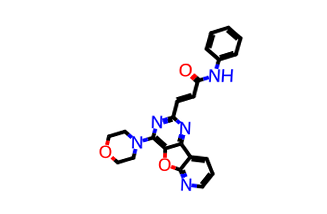 O=C(C=Cc1nc(N2CCOCC2)c2oc3ncccc3c2n1)Nc1ccccc1